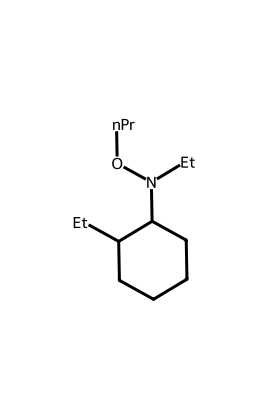 CCCON(CC)C1CCCCC1CC